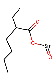 CCCCC(CC)C(=O)[O][Sn]=[O]